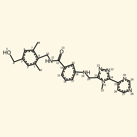 Cc1cc(CO)cc(C)c1CNC(=O)c1cccc(NCc2nnc(-c3ccncn3)n2C)c1